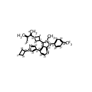 C=C(F)C(=C)N1CC(C2c3c(-c4cnn(C5CCC5)c4)ccnc3N(c3ccc(C(F)(F)F)cc3)N2C)C1